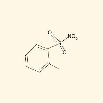 Cc1ccccc1S(=O)(=O)[N+](=O)[O-]